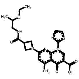 CCOC(C)CNC(=O)C1CN(c2cc(C)c3c(=O)c(C(=O)O)cn(-c4nccs4)c3n2)C1